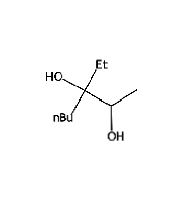 [CH2]CCCC(O)(CC)C(C)O